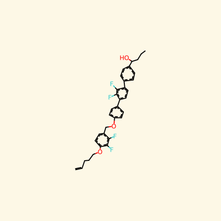 C=CCCCOc1ccc(COc2ccc(-c3ccc(-c4ccc(C(O)CCC)cc4)c(F)c3F)cc2)c(F)c1F